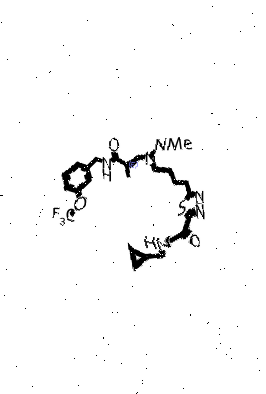 CNN(/C=C(\C)C(=O)NCc1cccc(OC(F)(F)F)c1)CCCCc1nnc(C(=O)NCC2CC2)s1